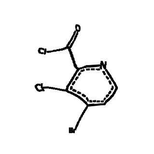 O=C(Cl)c1nccc(Br)c1Cl